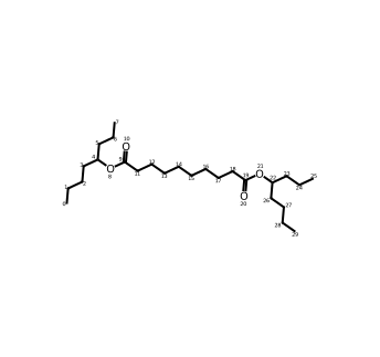 CCCCC(CCC)OC(=O)CCCCCCCCC(=O)OC(CCC)CCCC